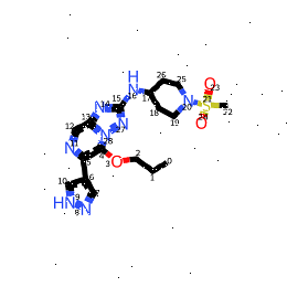 CCCOc1c(-c2cn[nH]c2)ncc2nc(NC3CCN(S(C)(=O)=O)CC3)nn12